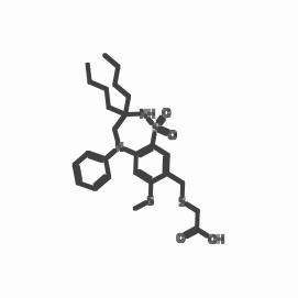 CCCCC1(CCCC)CN(c2ccccc2)c2cc(SC)c(CSCC(=O)O)cc2S(=O)(=O)N1